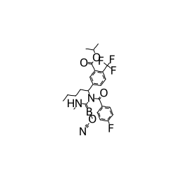 CCCCC(c1ccc(C(F)(F)F)c(C(=O)OC(C)C)c1)N(C(=O)c1ccc(F)cc1)C(=BOC#N)NC